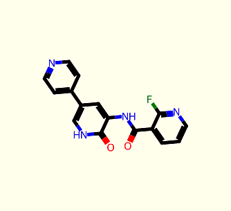 O=C(Nc1cc(-c2ccncc2)c[nH]c1=O)c1cccnc1F